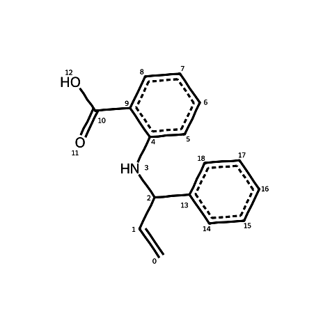 C=CC(Nc1ccccc1C(=O)O)c1ccccc1